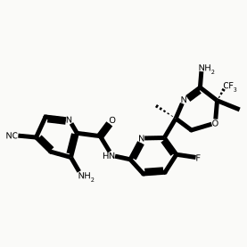 C[C@@]1(c2nc(NC(=O)c3ncc(C#N)cc3N)ccc2F)CO[C@@](C)(C(F)(F)F)C(N)=N1